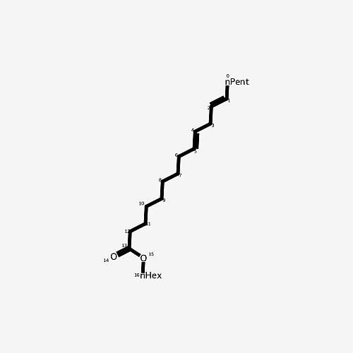 CCCCCC=CCC=CCCCCCCCC(=O)OCCCCCC